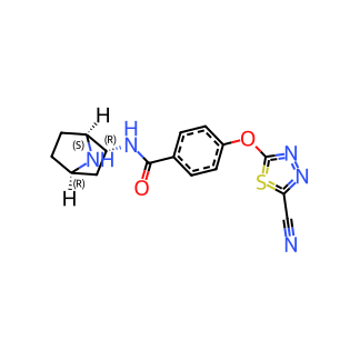 N#Cc1nnc(Oc2ccc(C(=O)N[C@@H]3C[C@H]4CC[C@@H]3N4)cc2)s1